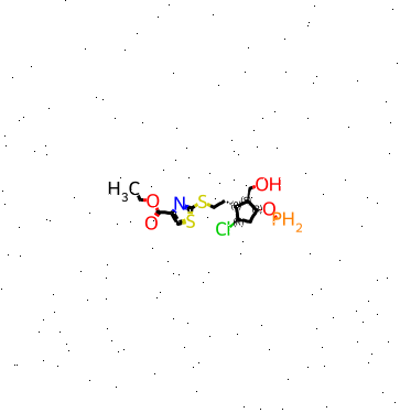 CCOC(=O)c1csc(SCC[C@@H]2[C@@H](CO)[C@H](OP)C[C@H]2Cl)n1